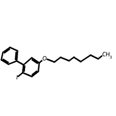 CCCCCCCCOc1ccc(I)c(-c2ccccc2)c1